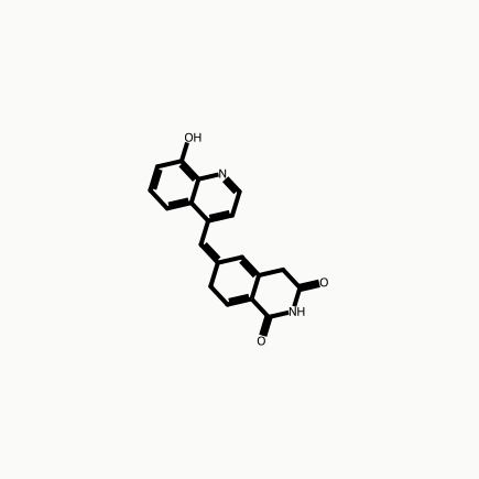 O=C1CC2=CC(=Cc3ccnc4c(O)cccc34)CC=C2C(=O)N1